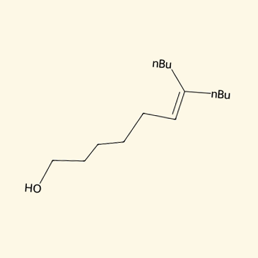 CCCCC(=CCCCCCO)CCCC